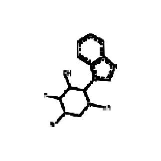 CCCN1CC(Br)C(F)C(O)C1n1cnc2ccccc21